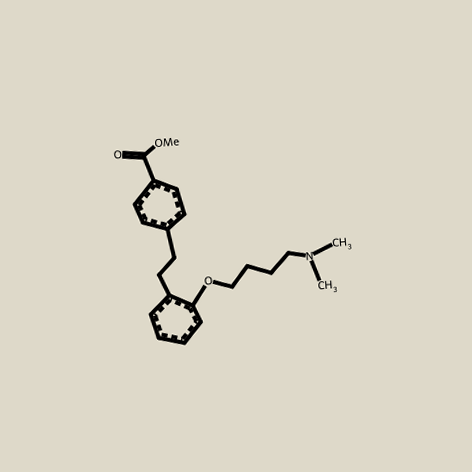 COC(=O)c1ccc(CCc2ccccc2OCCCCN(C)C)cc1